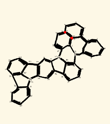 c1ccc(-c2ccccc2B2c3ccccc3-n3c4cc5c6cccc7c8ccccc8n(c5cc4c4cccc2c43)c76)cc1